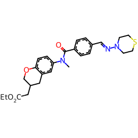 CCOC(=O)CC1COc2ccc(N(C)C(=O)c3ccc(C=NN4CCSCC4)cc3)cc2C1